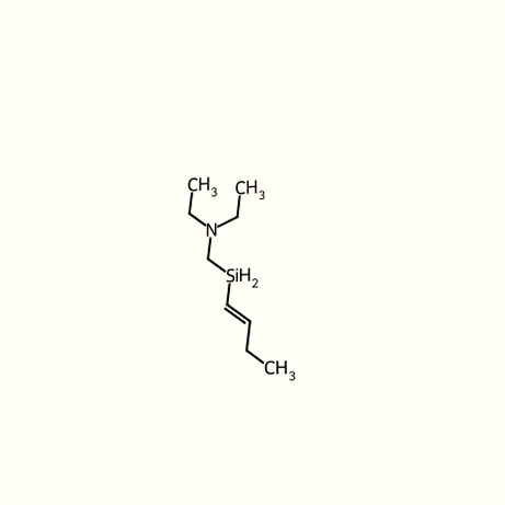 CCC=C[SiH2]CN(CC)CC